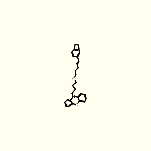 C(=C\c1ccc2c(c1)CC2)/CCCOCCCCN1c2ccccc2Oc2ccccc21